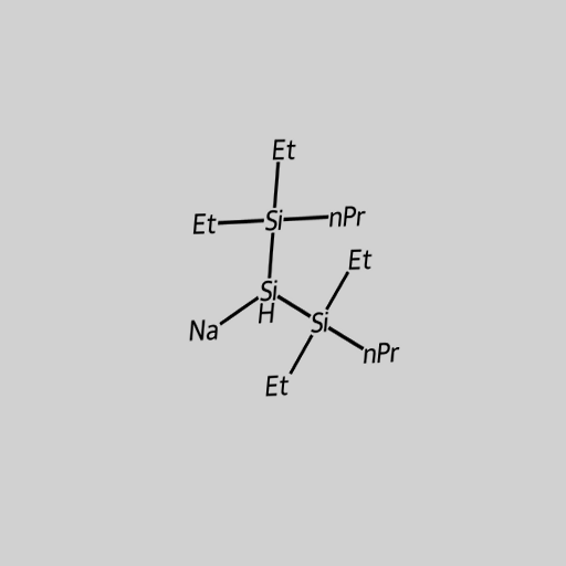 CCC[Si](CC)(CC)[SiH]([Na])[Si](CC)(CC)CCC